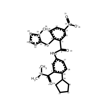 CN(C)C(=O)c1cc(NC(=O)c2cc([N+](=O)[O-])ccc2Sc2nnnn2C)ccc1C1CCCC1